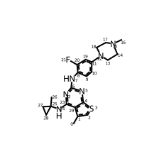 Cc1csc2nc(Nc3ccc(N4CCN(C)CC4)cc3F)nc(NC3(C)CC3)c12